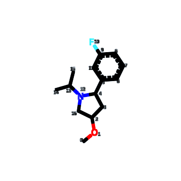 COC1CC(c2cccc(F)c2)N(C(C)C)C1